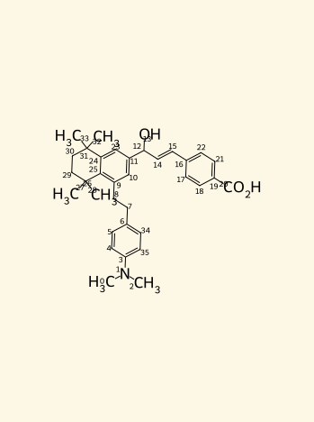 CN(C)c1ccc(CCc2cc(C(O)C=Cc3ccc(C(=O)O)cc3)cc3c2C(C)(C)CCC3(C)C)cc1